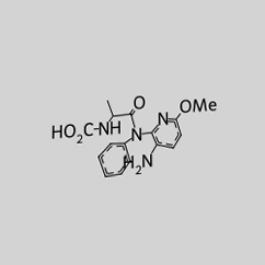 COc1ccc(N)c(N(C(=O)C(C)NC(=O)O)c2ccccc2)n1